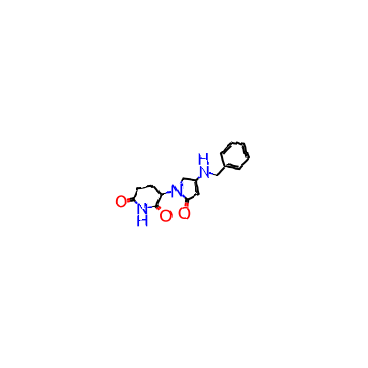 O=C1CCC(N2CC(NCc3ccccc3)=CC2=O)C(=O)N1